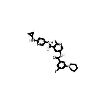 Cc1ncc(NC(=O)c2cc(F)cc(N3CCCCC3)c2)cc1C(=O)Nc1ccc(NC2CC2)nc1